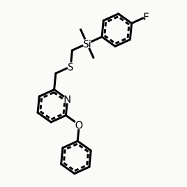 C[Si](C)(CSCc1cccc(Oc2ccccc2)n1)c1ccc(F)cc1